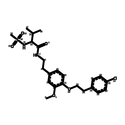 COc1cc(CCNC(=O)C(NS(C)(=O)=O)C(C)C)ccc1OCCc1ccc(Cl)cc1